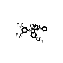 CC1=[N+](c2cc(C(F)(F)F)cc(C(F)(F)F)c2)c2ccc(C(F)(F)F)cc2C1(C)CCC1C=CC=C1